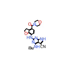 CC[C@H](C)Nc1nc(Nc2ccc(C(=O)N3CCOCC3)c3c2OCC3)nc2[nH]cc(C#N)c12